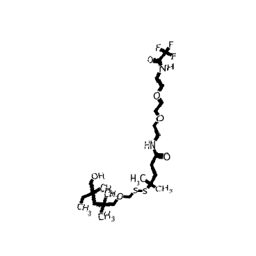 CCC(C)(CO)CC(C)(C)COCSSC(C)(C)CCC(=O)NCCOCCOCCNC(=O)C(F)(F)F